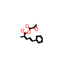 CC(=CC=Cc1ccccc1)C(=O)OC(=O)C1CO1